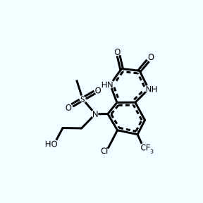 CS(=O)(=O)N(CCO)c1c(Cl)c(C(F)(F)F)cc2[nH]c(=O)c(=O)[nH]c12